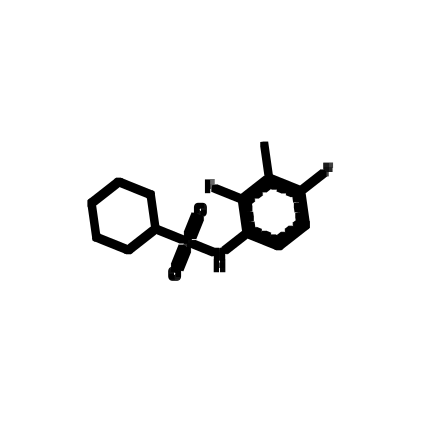 Cc1c(F)ccc(NS(=O)(=O)C2CCCCC2)c1F